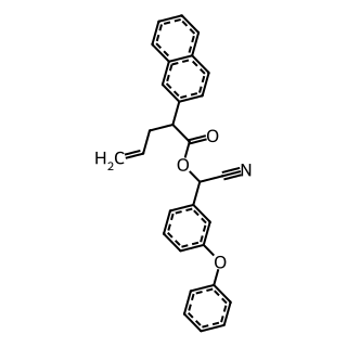 C=CCC(C(=O)OC(C#N)c1cccc(Oc2ccccc2)c1)c1ccc2ccccc2c1